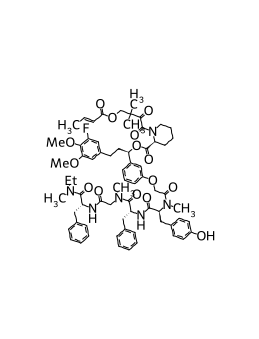 C/C=C/C(=O)OCC(C)(C)C(=O)C(=O)N1CCCC[C@H]1C(=O)O[C@H](CCc1cc(F)c(OC)c(OC)c1)c1cccc(OCC(=O)N(C)[C@@H](Cc2ccc(O)cc2)C(=O)N[C@H](Cc2ccccc2)C(=O)N(C)CC(=O)N[C@H](Cc2ccccc2)C(=O)N(C)CC)c1